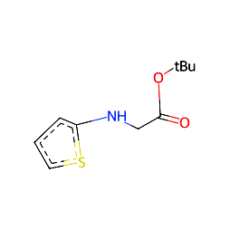 CC(C)(C)OC(=O)CNc1cccs1